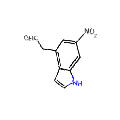 O=CCc1cc([N+](=O)[O-])cc2[nH]ccc12